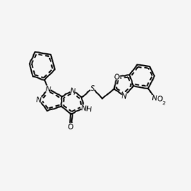 O=c1[nH]c(SCc2nc3c([N+](=O)[O-])cccc3o2)nc2c1cnn2-c1ccccc1